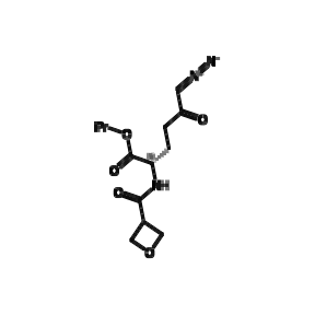 CC(C)OC(=O)[C@H](CCC(=O)C=[N+]=[N-])NC(=O)C1COC1